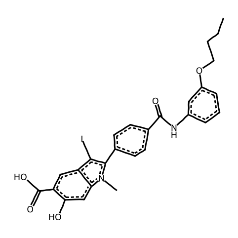 CCCCOc1cccc(NC(=O)c2ccc(-c3c(I)c4cc(C(=O)O)c(O)cc4n3C)cc2)c1